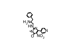 Cn1c(NCC(N)Cc2ccccc2)nc(-c2ccncc2)c([N+](=O)[O-])c1=O